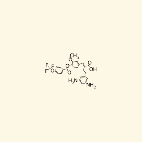 COc1cc(/C=C(\CCc2cc(N)cc(N)c2)C(=O)O)ccc1OC(=O)c1ccc(OC(F)(F)F)cc1